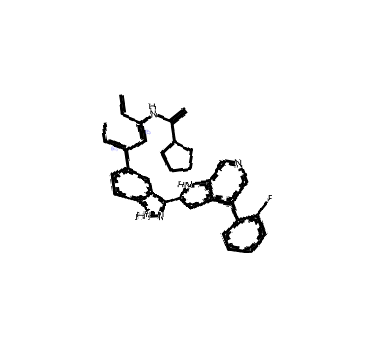 C=C/C(=C\C(=C/C)c1ccc2[nH]nc(-c3cc4c(-c5ccccc5F)cncc4[nH]3)c2c1)NC(=C)C1CCCC1